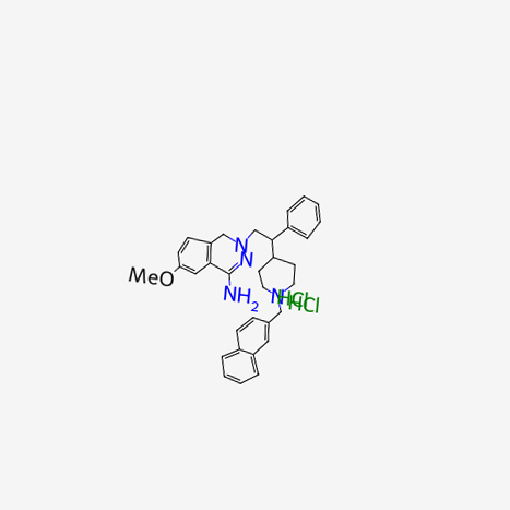 COc1ccc2c(c1)C(N)=NN(CC(c1ccccc1)C1CCN(Cc3ccc4ccccc4c3)CC1)C2.Cl.Cl